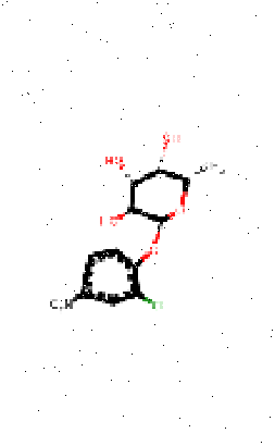 C[C@@H]1O[C@@H](Oc2ccc([N+](=O)[O-])cc2Cl)[C@@H](O)[C@H](O)[C@@H]1O